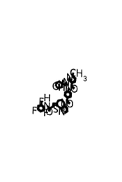 Cc1ccc(C(=O)Nc2ccc(C(=O)N3CCc4cc(C(=O)Nc5c(F)cc(F)cc5F)sc4-c4ncccc43)cc2)c(N2CC3(CCOCC3)C2)n1